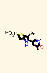 Cc1cc(-c2[nH]c3cc(C(=O)O)sc3c2C(C)C)cn(C)c1=O